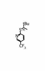 C[C@@H](Sc1ccc(C(F)(F)F)cn1)C(C)(C)C